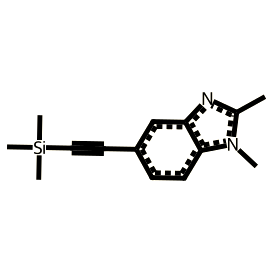 Cc1nc2cc(C#C[Si](C)(C)C)ccc2n1C